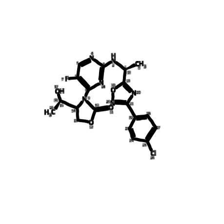 C[C@H](Nc1ncc(F)c(N2C(=O)OCC2[C@@H](C)O)n1)c1nc(-c2ccc(Cl)cc2)no1